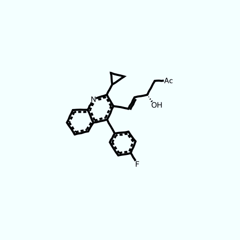 CC(=O)C[C@H](O)/C=C/c1c(C2CC2)nc2ccccc2c1-c1ccc(F)cc1